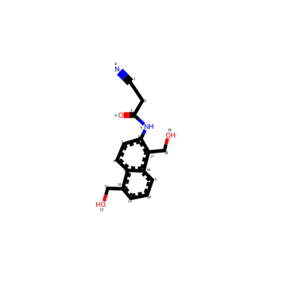 N#CCC(=O)Nc1ccc2c(CO)cccc2c1CO